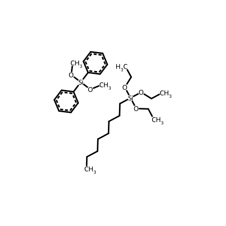 CCCCCCCC[Si](OCC)(OCC)OCC.CO[Si](OC)(c1ccccc1)c1ccccc1